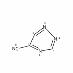 N#Cc1cnncn1